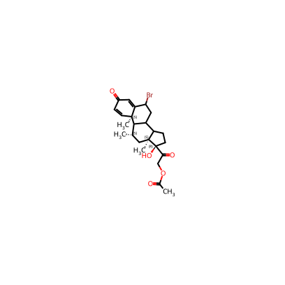 CC(=O)OCC(=O)[C@@]1(O)CCC2C3CC(Br)C4=CC(=O)C=C[C@]4(C)C3[C@@H](C)C[C@@]21C